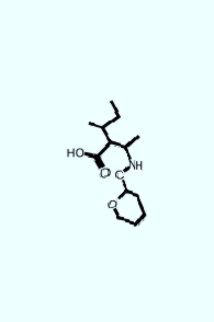 CCC(C)C(C(=O)O)C(C)NOC1CCCCO1